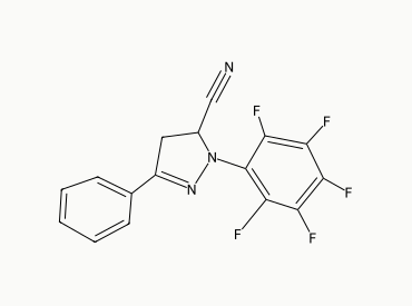 N#CC1CC(c2ccccc2)=NN1c1c(F)c(F)c(F)c(F)c1F